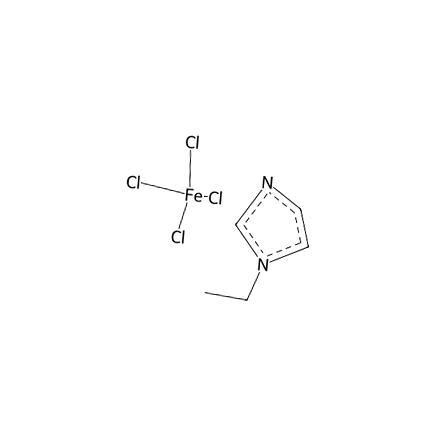 CCn1ccnc1.[Cl][Fe]([Cl])([Cl])[Cl]